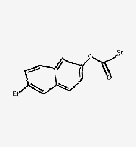 CCC(=O)Oc1ccc2cc(CC)ccc2c1